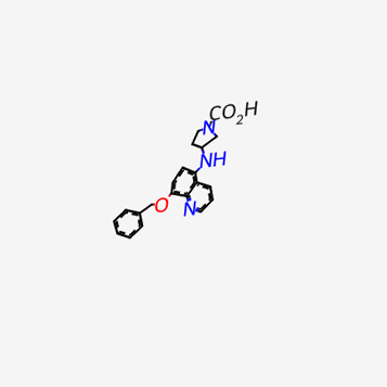 O=C(O)N1CCC(Nc2ccc(OCc3ccccc3)c3ncccc23)C1